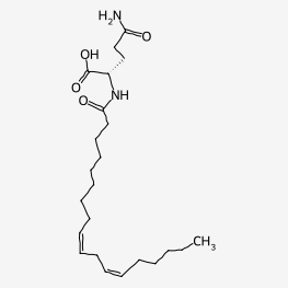 CCCCC/C=C\C/C=C\CCCCCCCC(=O)N[C@@H](CCC(N)=O)C(=O)O